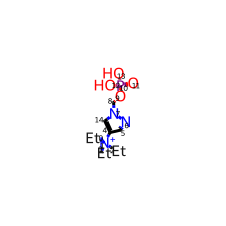 CC[N+](CC)(CC)c1cnn(COP(=O)(O)O)c1